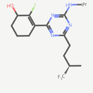 CC(C)Nc1nc(CC[C@@H](C)C(F)(F)F)nc(C2=C(F)C(O)CCC2)n1